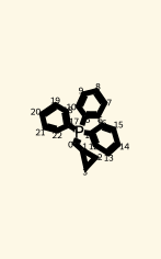 C(C1CC1)=P(c1ccccc1)(c1ccccc1)c1ccccc1